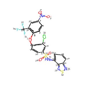 O=[N+]([O-])c1ccc(Oc2ccc(S(=O)(=O)Nc3cccc4nsnc34)cc2Cl)c(C(F)(F)F)c1